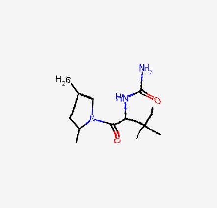 BC1CC(C)N(C(=O)C(NC(N)=O)C(C)(C)C)C1